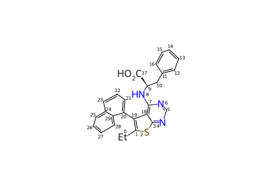 CCc1sc2ncnc(N[C@H](Cc3ccccc3)C(=O)O)c2c1-c1cccc2ccccc12